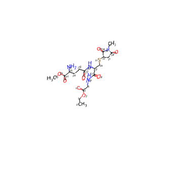 CCOC(=O)CNC(=O)C(CSC1CC(=O)N(C)C1=O)NC(=O)CCC(N)C(=O)OC